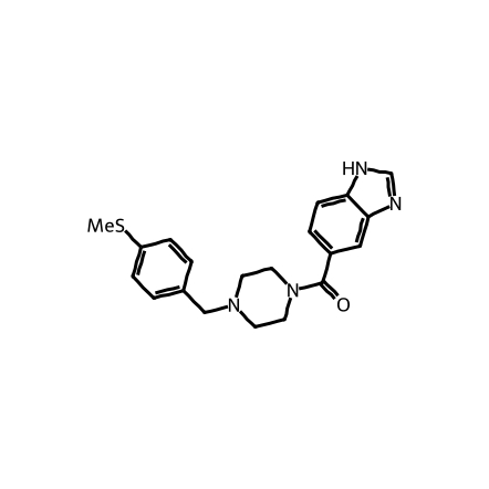 CSc1ccc(CN2CCN(C(=O)c3ccc4[nH]cnc4c3)CC2)cc1